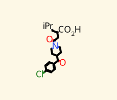 CC(C)CC(CC(=O)N1CCC(C(=O)c2ccc(Cl)cc2)CC1)C(=O)O